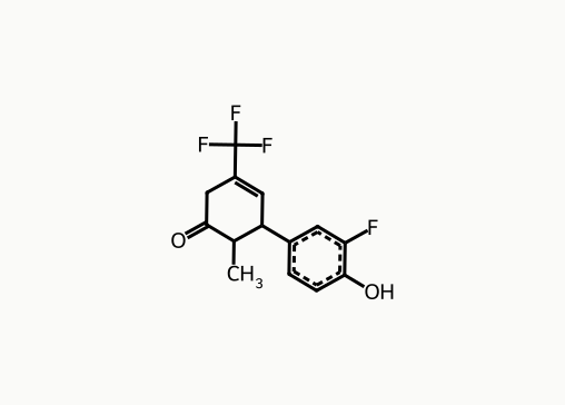 CC1C(=O)CC(C(F)(F)F)=CC1c1ccc(O)c(F)c1